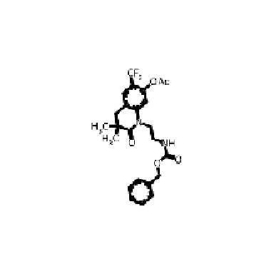 CC(=O)Oc1cc2c(cc1C(F)(F)F)CC(C)(C)C(=O)N2CCNC(=O)OCc1ccccc1